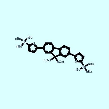 CCCCCCCCC1(CCCCCCCC)c2cc(-c3cc[c]([Sn]([CH2]CCC)([CH2]CCC)[CH2]CCC)s3)ccc2-c2ccc(-c3cc[c]([Sn]([CH2]CCC)([CH2]CCC)[CH2]CCC)s3)cc21